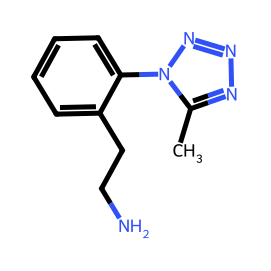 Cc1nnnn1-c1ccccc1CCN